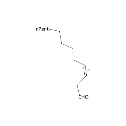 CCCCCCCCC/C=C\CC=O